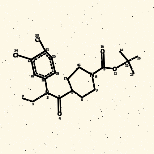 CCN(C(=O)C1CCN(C(=O)OC(C)(C)C)CC1)c1ccc(Cl)c(Cl)c1